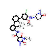 COc1cc(-c2cccc(-c3cccc(NC(=O)c4c[nH]c(=O)n(C)c4=O)c3C)c2C)cc(F)c1CNC1CCC(=O)NC1